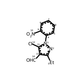 CCc1nn(-c2ccccc2[N+](=O)[O-])c(Cl)c1C=O